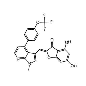 Cn1cc(C=C2Oc3cc(O)cc(O)c3C2=O)c2c(-c3ccc(OC(F)(F)F)cc3)ccnc21